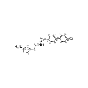 N[C@@H]1CCN(CCNC2CC2c2ccc(-c3ccc(Cl)cc3)cc2)C1